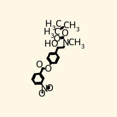 CN(CC(O)c1ccc(OC(=O)c2cccc([N+](=O)[O-])c2)cc1)C(=O)OC(C)(C)C